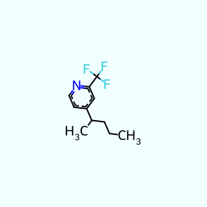 CCCC(C)c1ccnc(C(F)(F)F)c1